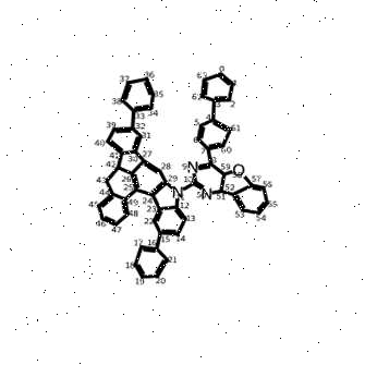 c1ccc(-c2ccc(C3=NC(n4c5ccc(-c6ccccc6)cc5c5c6c7c(cc54)-c4cc(-c5ccccc5)ccc4C7Cc4ccccc4-6)=NC4c5ccccc5OC34)cc2)cc1